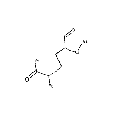 C=CC(CCC(CC)C(=O)C(C)C)OCC